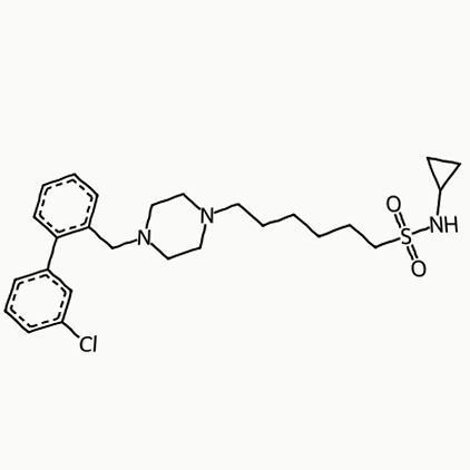 O=S(=O)(CCCCCCN1CCN(Cc2ccccc2-c2cccc(Cl)c2)CC1)NC1CC1